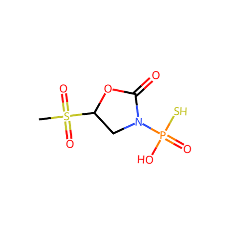 CS(=O)(=O)C1CN(P(=O)(O)S)C(=O)O1